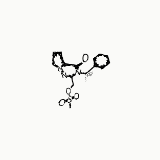 C[C@@H](c1ccccc1)n1c(COS(C)(=O)=O)nn2cccc2c1=O